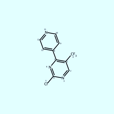 FC(F)(F)c1cnc(Cl)nc1-c1ccncc1